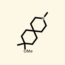 COC1(C)CCC2(CCN(C)CC2)CC1